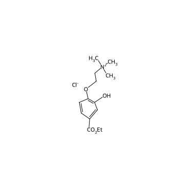 CCOC(=O)c1ccc(OCC[N+](C)(C)C)c(O)c1.[Cl-]